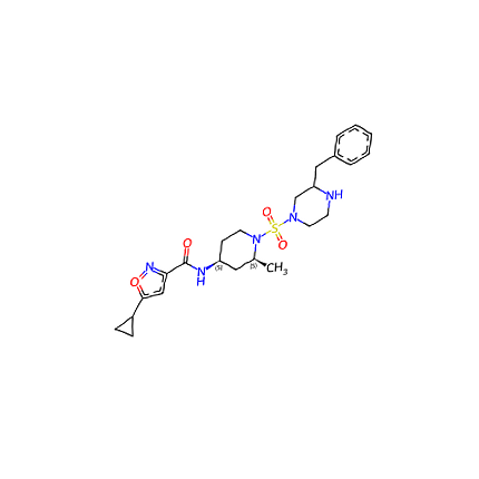 C[C@H]1C[C@@H](NC(=O)c2cc(C3CC3)on2)CCN1S(=O)(=O)N1CCNC(Cc2ccccc2)C1